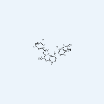 COc1cc2nccc(Oc3ccc4[nH]c(C)cc4c3F)c2cc1OC(=O)N1C[C@@H](C)N[C@@H](C)C1